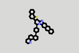 c1ccc2cc3cc4c(cc3cc2c1)nc1c2sc3c5ccccc5ccc3c2cc(-c2ccc(-c3cccc5c3ccc3cccnc35)cc2)n41